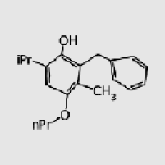 CCCOc1cc(C(C)C)c(O)c(Cc2ccccc2)c1C